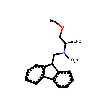 CC(C)(C)OC[C@@H](C=O)N(CC1c2ccccc2-c2ccccc21)C(=O)O